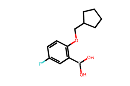 OB(O)c1cc(F)ccc1OCC1CCCC1